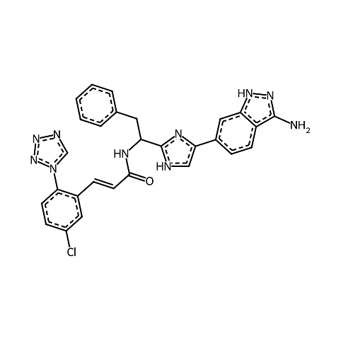 Nc1n[nH]c2cc(-c3c[nH]c(C(Cc4ccccc4)NC(=O)/C=C/c4cc(Cl)ccc4-n4cnnn4)n3)ccc12